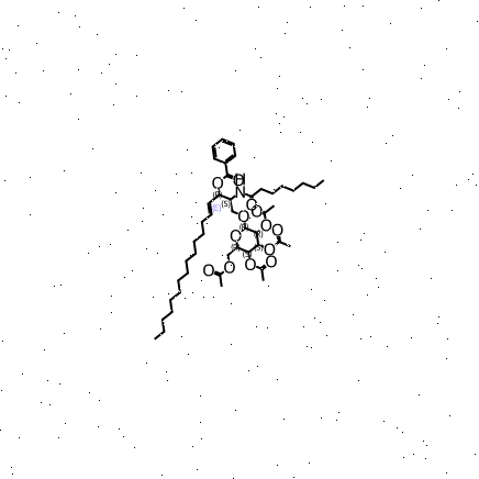 CCCCCCCCCCCCC/C=C/[C@@H](OC(=O)c1ccccc1)[C@H](CO[C@@H]1O[C@H](COC(C)=O)[C@H](OC(C)=O)[C@H](OC(C)=O)[C@H]1OC(C)=O)NC(=O)CCCCCCC